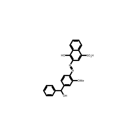 COc1cc(C(O)c2ccccc2)ccc1/N=N/c1cc(S(=O)(=O)O)c2ccccc2c1O